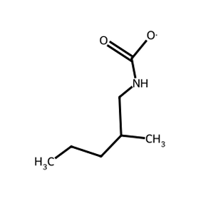 CCCC(C)CNC([O])=O